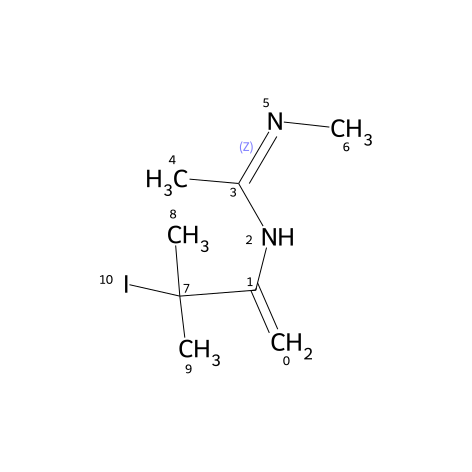 C=C(N/C(C)=N\C)C(C)(C)I